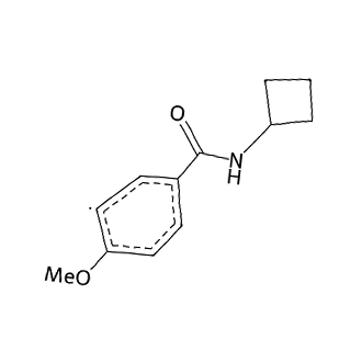 COc1[c]cc(C(=O)NC2CCC2)cc1